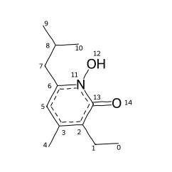 CCc1c(C)cc(CC(C)C)n(O)c1=O